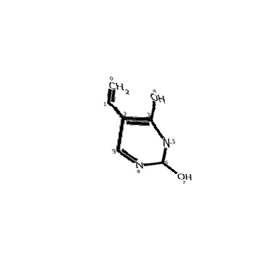 C=CC1=C(O)[N]C(O)N=C1